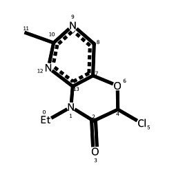 CCN1C(=O)C(Cl)Oc2cnc(C)nc21